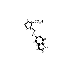 O=C(O)C1CCCN1COc1ccc2sccc2c1